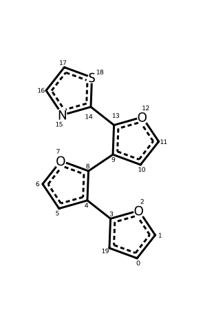 c1coc(-c2ccoc2-c2ccoc2-c2nccs2)c1